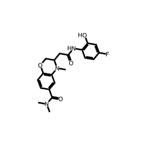 CN(C)C(=O)c1ccc2c(c1)N(C)C(CC(=O)Nc1ccc(F)cc1O)CO2